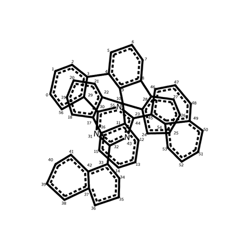 c1ccc(-c2cccc3c2C2(c4ccccc4-c4ccccc42)c2ccccc2-3)c(-c2nc(-c3cccc4ccccc34)nc(-c3cccc4ccccc34)n2)c1